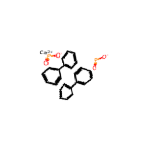 O=P[O-].O=P[O-].[Ca+2].c1ccc(-c2ccccc2)cc1.c1ccc(-c2ccccc2)cc1